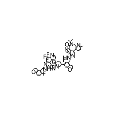 Cc1ccc2c(n1)CN(C(C)C)C(=O)c1ncn3c(NCc4c(F)c(C5CCS(=O)(c6ncn7c(NCc8c(F)ccc9c8CCO9)ncc(-c8cccnc8C(F)(F)F)c67)=NC5)cc5c4CCO5)ncc-2c13